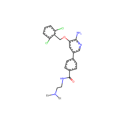 CCN(CC)CCNC(=O)c1ccc(-c2cnc(N)c(OCc3c(Cl)cccc3Cl)c2)cc1